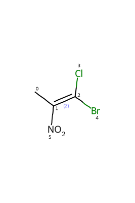 C/C(=C(\Cl)Br)[N+](=O)[O-]